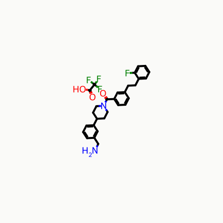 NCc1cccc(C2CCN(C(=O)c3cccc(CCc4ccccc4F)c3)CC2)c1.O=C(O)C(F)(F)F